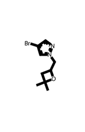 CC1(C)CC(Cn2cc(Br)cn2)O1